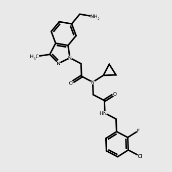 Cc1nn(CC(=O)N(CC(=O)NCc2cccc(Cl)c2F)C2CC2)c2cc(CN)ccc12